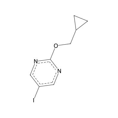 Ic1cnc(OCC2CC2)nc1